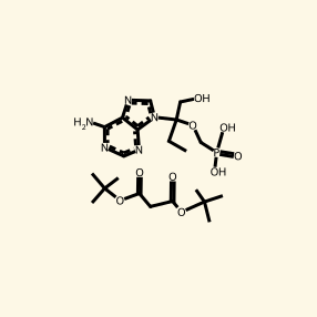 CC(C)(C)OC(=O)CC(=O)OC(C)(C)C.CCC(CO)(OCP(=O)(O)O)n1cnc2c(N)ncnc21